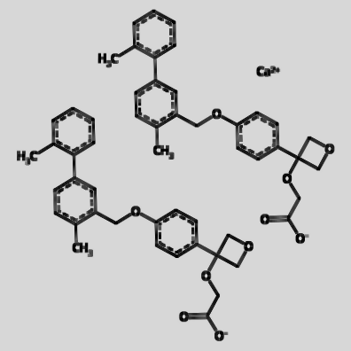 Cc1ccc(-c2ccccc2C)cc1COc1ccc(C2(OCC(=O)[O-])COC2)cc1.Cc1ccc(-c2ccccc2C)cc1COc1ccc(C2(OCC(=O)[O-])COC2)cc1.[Ca+2]